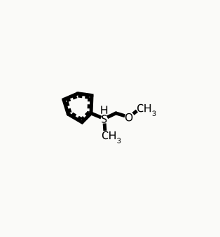 COC[SH](C)c1ccccc1